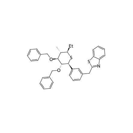 CC[C@H]1S[C@@H](c2cccc(Cc3nc4ccccc4s3)c2)[C@H](OCc2ccccc2)[C@@H](OCc2ccccc2)[C@@H]1C